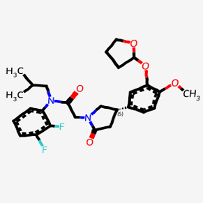 COc1ccc([C@@H]2CC(=O)N(CC(=O)N(CC(C)C)c3cccc(F)c3F)C2)cc1OC1CCCO1